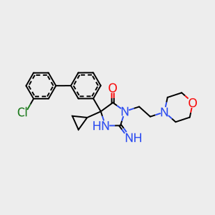 N=C1NC(c2cccc(-c3cccc(Cl)c3)c2)(C2CC2)C(=O)N1CCN1CCOCC1